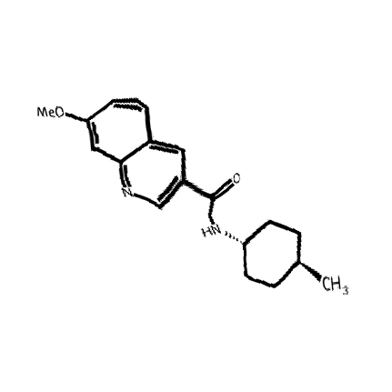 COc1ccc2cc(C(=O)N[C@H]3CC[C@H](C)CC3)cnc2c1